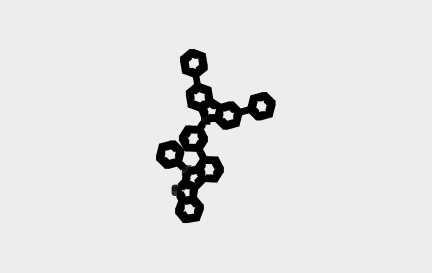 c1ccc(-c2ccc3c(c2)c2cc(-c4ccccc4)ccc2n3-c2cccc(-c3cccc4c5c6ccccc6oc5n(-c5ccccc5)c34)c2)cc1